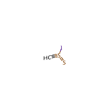 C#S(=S)I